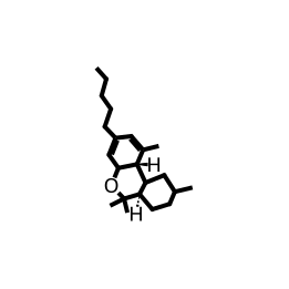 CCCCCC1=CC2OC(C)(C)[C@@H]3CCC(C)CC3[C@H]2C(C)=C1